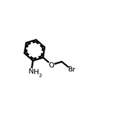 Nc1ccccc1OCBr